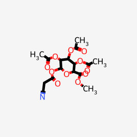 COC(=O)C1OC(OC(=O)CC#N)C(OC(C)=O)C(OC(C)=O)C1OC(C)=O